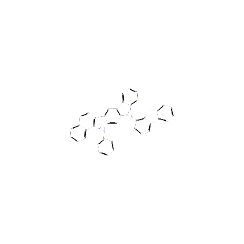 c1ccc(-n2c3cc4c(cc3c3ccc5ccccc5c32)c2ccccc2n4-c2cccc3c2sc2ccccc23)cc1